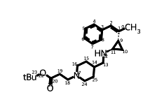 CC(=Cc1ccccc1)[C@@H]1C[C@H]1NCC1CCN(CCC(=O)OC(C)(C)C)CC1